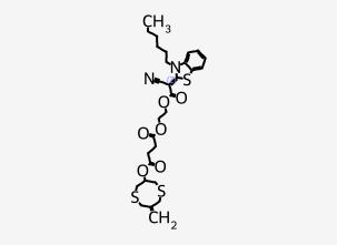 C=C1CSCC(OC(=O)CCC(=O)OCCOC(=O)/C(C#N)=C2\Sc3ccccc3N2CCCCCC)CSC1